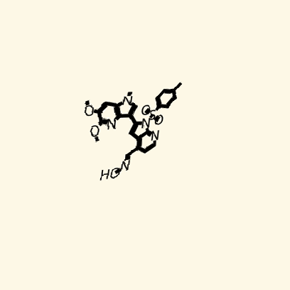 COc1cc2c(nc1OC)c(-c1cc3c(C=NO)ccnc3n1S(=O)(=O)c1ccc(C)cc1)cn2C